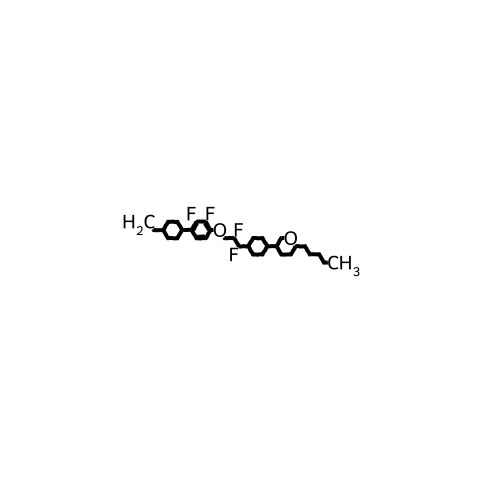 C=CC1CCC(c2ccc(OCC(F)C(F)C3CCC(C4CCC(CCCCC)OC4)CC3)c(F)c2F)CC1